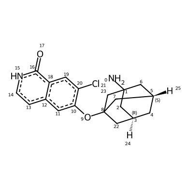 NC12C[C@H]3C[C@@H](C1)CC(Oc1cc4cc[nH]c(=O)c4cc1Cl)(C3)C2